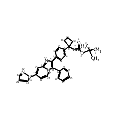 CC(C)(C)OC(=O)NC1(c2ccc(-c3nc4cc(-n5cccn5)ccn4c3-c3ccccc3)cc2)CCC1